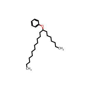 CCCCCCCCCCCCC(CCCCCCC)Oc1ccccc1